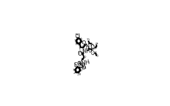 CCOC(CN(C(=O)C(Cc1ccc(Cl)cc1)NC(=O)CCNS(=O)(=O)c1ccccc1F)C(C)C)OCC